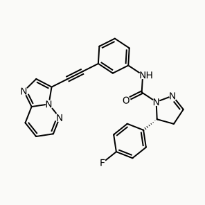 O=C(Nc1cccc(C#Cc2cnc3cccnn23)c1)N1N=CC[C@@H]1c1ccc(F)cc1